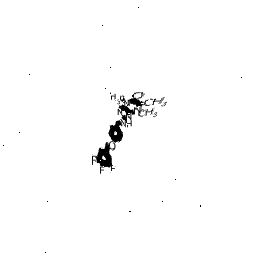 C[C@H]1C(=O)N(C)c2cnc(NCc3ccc(OCc4cc(F)c(F)c(F)c4)cc3)nc2N1C